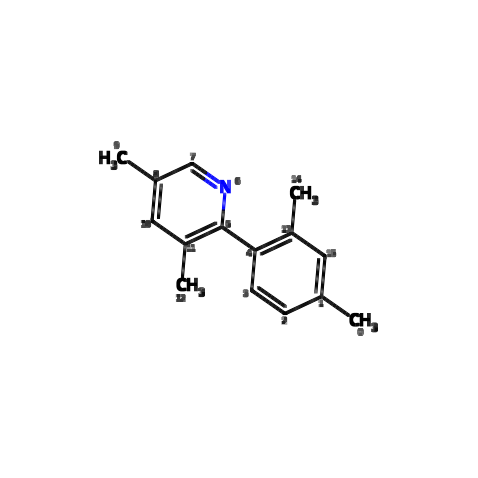 Cc1ccc(-c2ncc(C)cc2C)c(C)c1